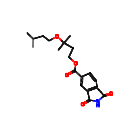 CC(C)CCOC(C)(C)CCOC(=O)c1ccc2c(c1)C(=O)NC2=O